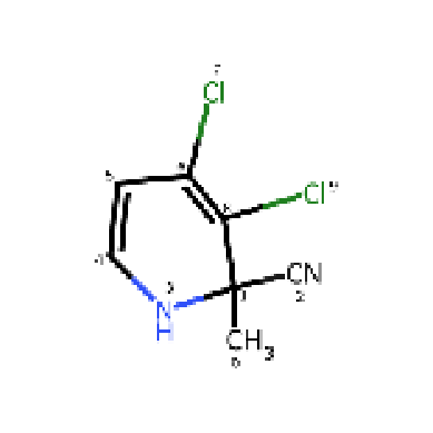 CC1(C#N)NC=CC(Cl)=C1Cl